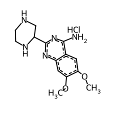 COc1cc2nc(C3CNCCN3)nc(N)c2cc1OC.Cl